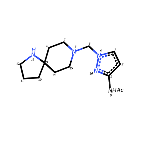 CC(=O)Nc1ccn(CN2CCC3(CCCN3)CC2)n1